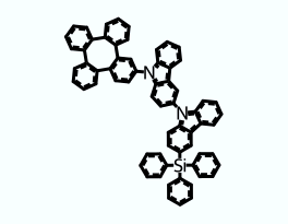 c1ccc([Si](c2ccccc2)(c2ccccc2)c2ccc3c(c2)c2ccccc2n3-c2ccc3c(c2)c2ccccc2n3-c2ccc3c(c2)-c2ccccc2-c2ccccc2-c2ccccc2-3)cc1